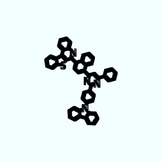 c1ccc(-c2cc(-c3ccc(-c4nc5ccccc5c5c4sc4ccccc45)c4ccccc34)nc(-c3ccc(-n4c5ccccc5c5ccccc54)cc3)n2)cc1